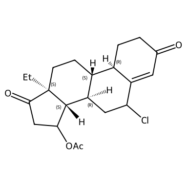 CC[C@]12CC[C@H]3[C@@H](CC(Cl)C4=CC(=O)CC[C@@H]43)[C@@H]1C(OC(C)=O)CC2=O